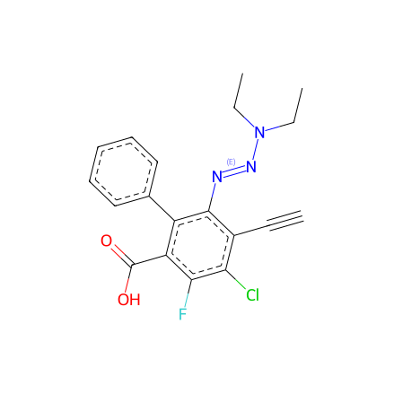 C#Cc1c(Cl)c(F)c(C(=O)O)c(-c2ccccc2)c1/N=N/N(CC)CC